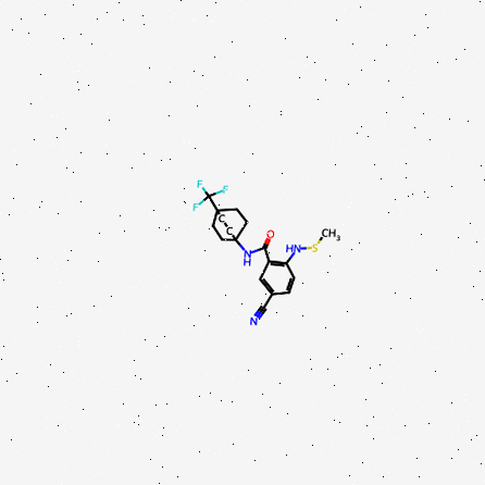 CSNc1ccc(C#N)cc1C(=O)NC12CCC(C(F)(F)F)(CC1)CC2